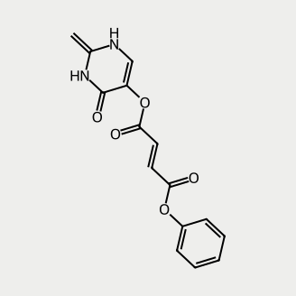 C=C1NC=C(OC(=O)/C=C/C(=O)Oc2ccccc2)C(=O)N1